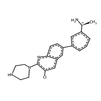 C[C@H](N)c1cccc(-c2ccc3nc(N4CCNCC4)c(Cl)cc3c2)c1